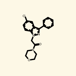 O=C(Cn1nc(-c2ccccc2)c2cc(Cl)ccc21)N1CCOCC1